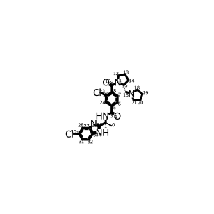 C[C@H](NC(=O)c1ccc(C(=O)N2CCC[C@@H]2CN2CCCC2)c(Cl)c1)c1nc2cc(Cl)ccc2[nH]1